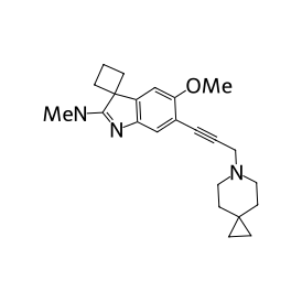 CNC1=Nc2cc(C#CCN3CCC4(CC3)CC4)c(OC)cc2C12CCC2